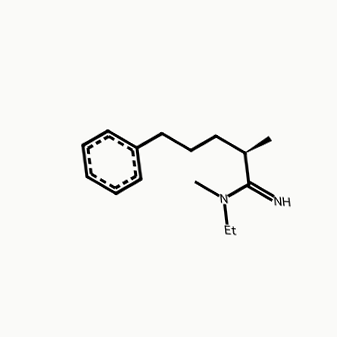 CCN(C)C(=N)[C@H](C)CCCc1ccccc1